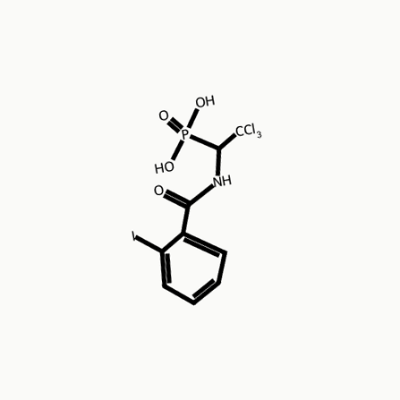 O=C(NC(C(Cl)(Cl)Cl)P(=O)(O)O)c1ccccc1I